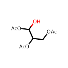 CC(=O)OCC(OC(C)=O)C(O)OC(C)=O